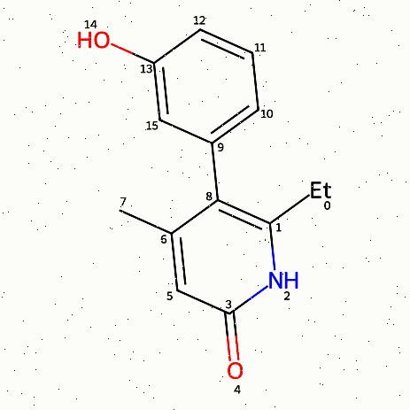 CCc1[nH]c(=O)cc(C)c1-c1cccc(O)c1